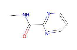 [CH2]NC(=O)c1ncccn1